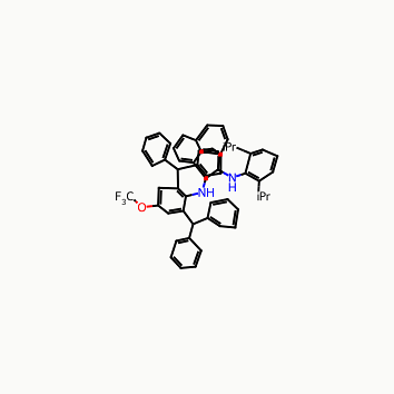 CC(C)c1cccc(C(C)C)c1NC1c2cccc3cccc(c23)C1Nc1c(C(c2ccccc2)c2ccccc2)cc(OC(F)(F)F)cc1C(c1ccccc1)c1ccccc1